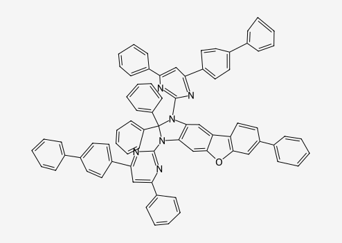 c1ccc(-c2ccc(-c3cc(-c4ccccc4)nc(N4c5cc6oc7cc(-c8ccccc8)ccc7c6cc5N(c5nc(-c6ccccc6)cc(-c6ccc(-c7ccccc7)cc6)n5)C4(c4ccccc4)c4ccccc4)n3)cc2)cc1